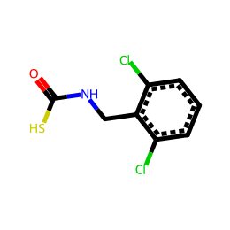 O=C(S)NCc1c(Cl)cccc1Cl